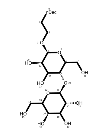 CCCCCCCCCCCCO[C@H]1OC(CO)[C@H](O[C@@H]2OC(CO)[C@H](O)C(O)[C@H]2O)C(O)[C@H]1O